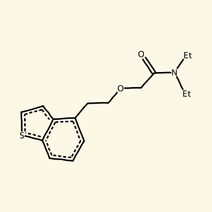 CCN(CC)C(=O)COCCc1cccc2sccc12